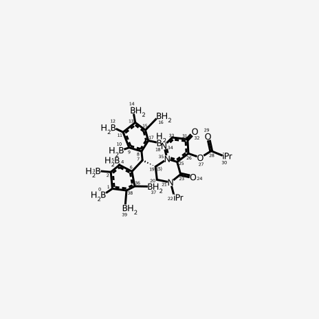 Bc1c(B)c(B)c(C(c2c(B)c(B)c(B)c(B)c2B)[C@H]2CN(C(C)C)C(=O)c3c(OC(=O)C(C)C)c(=O)cnn32)c(B)c1B